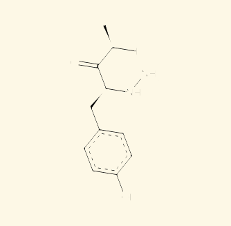 C[C@@H](I)C(=O)[C@H](Cc1ccc(O)cc1)NN